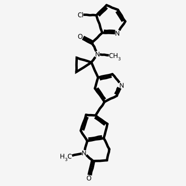 CN1C(=O)CCc2cc(-c3cncc(C4(N(C)C(=O)c5ncccc5Cl)CC4)c3)ccc21